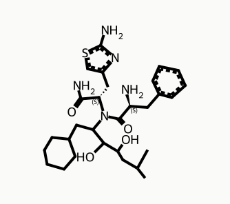 CC(C)CC(O)C(O)C(CC1CCCCC1)N(C(=O)[C@@H](N)Cc1ccccc1)[C@@H](Cc1csc(N)n1)C(N)=O